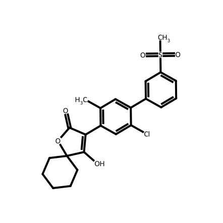 Cc1cc(-c2cccc(S(C)(=O)=O)c2)c(Cl)cc1C1=C(O)C2(CCCCC2)OC1=O